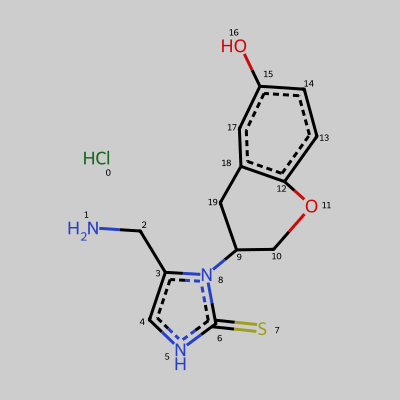 Cl.NCc1c[nH]c(=S)n1C1COc2ccc(O)cc2C1